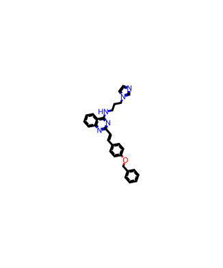 C(=Cc1nc(NCCCn2ccnc2)c2ccccc2n1)c1ccc(OCc2ccccc2)cc1